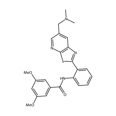 COc1cc(OC)cc(C(=O)Nc2ccccc2-c2nc3cc(CN(C)C)cnc3s2)c1